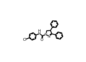 O=C(Nc1ccc(Cl)cc1)N1CC(c2ccccc2)C(c2ccccc2)=N1